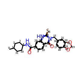 CC1CCC(NC(=O)c2ccc3c(=O)n(Cc4ccc5c(c4)OCO5)c(=S)[nH]c3c2)CC1